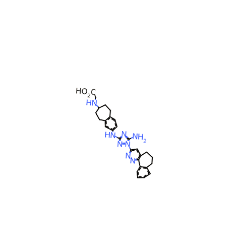 Nc1nc(Nc2ccc3c(c2)CCC(NCC(=O)O)CC3)nn1-c1cc2c(nn1)-c1ccccc1CCC2